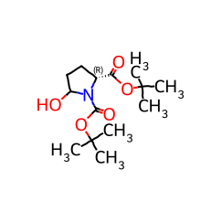 CC(C)(C)OC(=O)[C@H]1CCC(O)N1C(=O)OC(C)(C)C